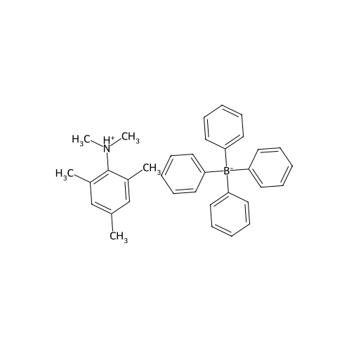 Cc1cc(C)c([NH+](C)C)c(C)c1.c1ccc([B-](c2ccccc2)(c2ccccc2)c2ccccc2)cc1